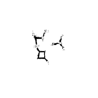 CC(C)(C)OC(=O)NC1C[CH]([K])C1.FB(F)F